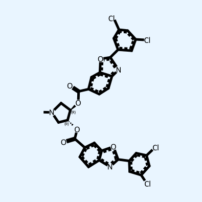 CN1C[C@@H](OC(=O)c2ccc3nc(-c4cc(Cl)cc(Cl)c4)oc3c2)[C@H](OC(=O)c2ccc3nc(-c4cc(Cl)cc(Cl)c4)oc3c2)C1